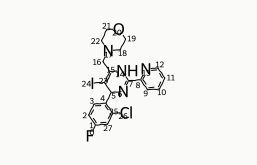 Fc1ccc(C2N=C(c3ccccn3)NC(CN3CCOCC3)=C2I)c(Cl)c1